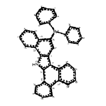 c1ccc(N(c2ccccc2)c2cc3c([nH]c4c5ccccc5c5ccccc5c34)c3ccccc23)cc1